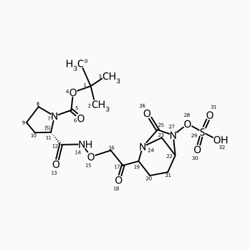 CC(C)(C)OC(=O)N1CCC[C@H]1C(=O)NOCC(=O)C1CCC2CN1C(=O)N2OS(=O)(=O)O